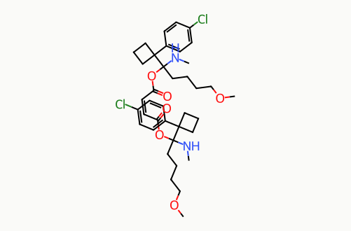 CNC(CCCCOC)(OC(=O)/C=C\C(=O)OC(CCCCOC)(NC)C1(c2ccc(Cl)cc2)CCC1)C1(c2ccc(Cl)cc2)CCC1